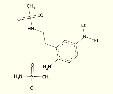 CCN(CC)c1ccc(N)c(CCNS(C)(=O)=O)c1.CS(N)(=O)=O